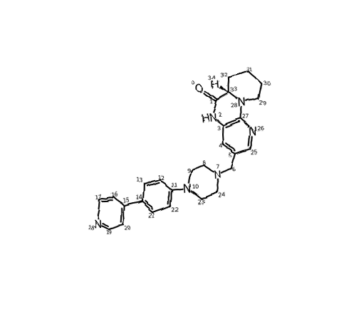 O=C1Nc2cc(CN3CCN(c4ccc(-c5ccncc5)cc4)CC3)cnc2N2CCCC[C@@H]12